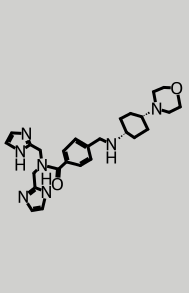 O=C(c1ccc(CN[C@H]2CC[C@@H](N3CCOCC3)CC2)cc1)N(Cc1ncc[nH]1)Cc1ncc[nH]1